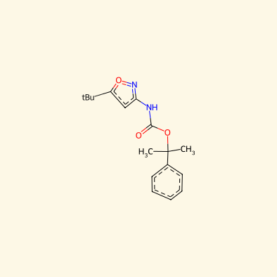 CC(C)(C)c1cc(NC(=O)OC(C)(C)c2ccccc2)no1